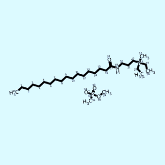 CCCCCCCCCCCCCCCCCC(=O)NCCC[N+](C)(CC)CC.COP(C)(=O)[O-]